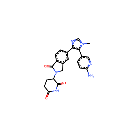 Cn1cnc(-c2ccc3c(c2)CN(C2CCC(=O)NC2=O)C3=O)c1-c1ccc(N)nc1